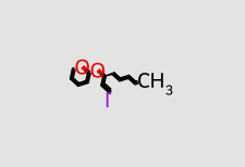 CCCCC[C@@H](/C=C/I)OC1CCCCO1